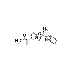 CC(=O)Nc1ccc(OC(C)(C)c2nc3ccccc3s2)cc1